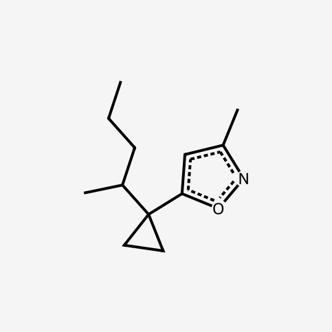 CCCC(C)C1(c2cc(C)no2)CC1